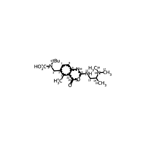 Cc1c(CN(C(=O)O)C(C)(C)C)ccc2nc(NCC(C)N(C)C)oc(=O)c12